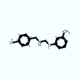 Cc1cccc(OCNCc2ccc(Cl)cc2)c1